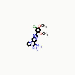 COc1cc(OC)c(-c2cn3cc(C(N)CN)c(N4CCCC4)cc3n2)cc1Cl